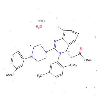 COC(=O)C[C@H]1c2cccc(F)c2N=C(N2CCN(c3cccc(OC)c3)CC2)N1c1cc(C(F)(F)F)ccc1OC.O.[NaH]